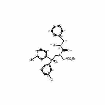 CCOC(=O)CN(CP(=O)(c1cccc(Cl)c1)c1cccc(Cl)c1)C(=O)[S+]([O-])Cc1ccccc1